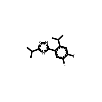 CC(C)c1nc(-c2cc(F)c(F)cc2C(C)C)ns1